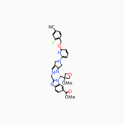 COC(=O)c1ccc2nc(Cn3cc4c(n3)CN(c3cccc(OCc5ccc(C#N)cc5F)n3)C4)n(CC3(OC)COC3)c2c1